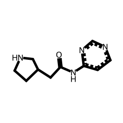 O=C(CC1CCNC1)Nc1ccncn1